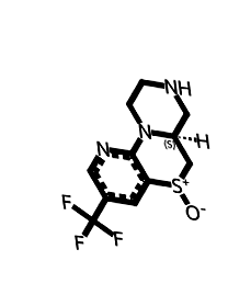 [O-][S+]1C[C@@H]2CNCCN2c2ncc(C(F)(F)F)cc21